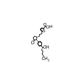 CCCCCC(O)c1ccc([C@H]2C(=O)CC[C@H]2CCCc2ccc(C(=O)O)s2)cc1